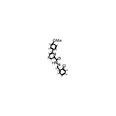 COc1ccc(-c2cncc(C(=O)N/N=C/c3ccccc3Cl)n2)cc1